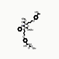 CC(=N)c1ccc(OCCCCN(C(=O)OC(C)(C)C)/C(=N/c2ccccc2)N(CCCCOc2ccc(C(=N)NC(=O)OC(C)(C)C)cc2)C(=O)OC(C)(C)C)cc1